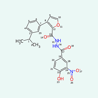 CC(C)c1cccc(-c2ccoc2C(=O)NNC(=O)c2ccc(O)c([N+](=O)[O-])c2)c1